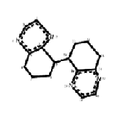 c1cnc2c(n1)CCCC2C1CCCc2nccnc21